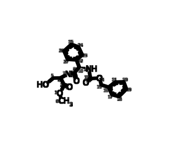 COC(=O)C(CO)NC(=O)[C@@H](NC(=O)OCc1ccccc1)c1ccccc1